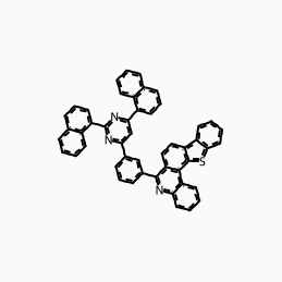 c1cc(-c2cc(-c3cccc4ccccc34)nc(-c3cccc4ccccc34)n2)cc(-c2nc3ccccc3c3c2ccc2c4ccccc4sc23)c1